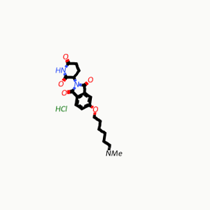 CNCCCCCCOc1ccc2c(c1)C(=O)N(C1CCC(=O)NC1=O)C2=O.Cl